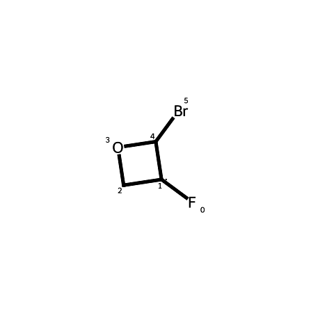 F[C]1COC1Br